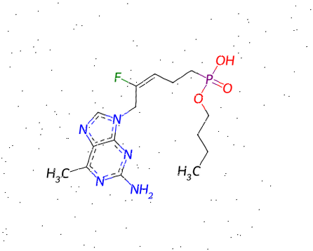 CCCCOP(=O)(O)CC/C=C(/F)Cn1cnc2c(C)nc(N)nc21